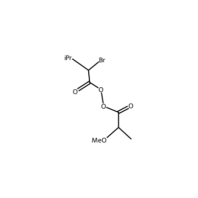 COC(C)C(=O)OOC(=O)C(Br)C(C)C